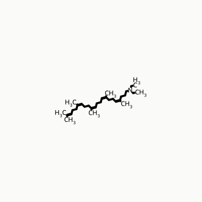 CCN(CC)CCC/C(C)=C\CC/C(C)=C\CC/C=C(/C)CC/C=C(/C)CCC=C(C)C